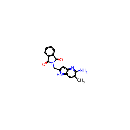 Cc1cc2[nH]c(CN3C(=O)c4ccccc4C3=O)cc2nc1N